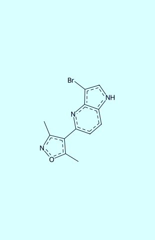 Cc1noc(C)c1-c1ccc2[nH]cc(Br)c2n1